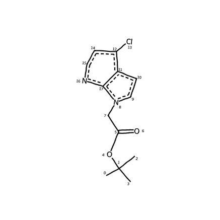 CC(C)(C)OC(=O)Cn1ccc2c(Cl)ccnc21